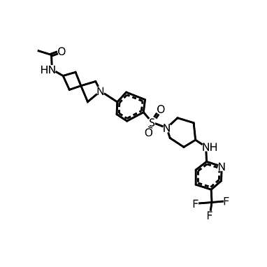 CC(=O)NC1CC2(C1)CN(c1ccc(S(=O)(=O)N3CCC(Nc4ccc(C(F)(F)F)cn4)CC3)cc1)C2